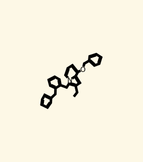 CCc1cc2c(OCc3ccccc3)cccn2c1Cc1ccccc1Cc1ccccc1